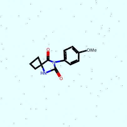 COc1ccc(N2C(=O)NC3(CCC3)C2=O)cc1